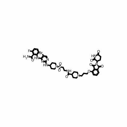 NC(=O)c1c(F)cccc1Nc1nc(NC2CCN(S(=O)(=O)CCNC(=O)C3CCN(CCCOc4cccc5c4C(=O)N(C4CCC(=O)NC4=O)C5=O)CC3)CC2)ncc1Br